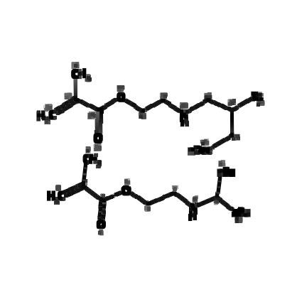 C=C(C)C(=O)OCCNC(CCCC)CCCC.C=C(C)C(=O)OCCNCC(CC)CCCCCCCCCCC